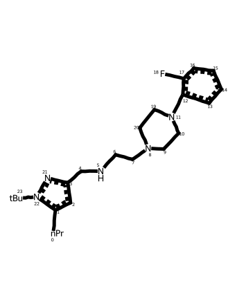 CCCc1cc(CNCCN2CCN(c3ccccc3F)CC2)nn1C(C)(C)C